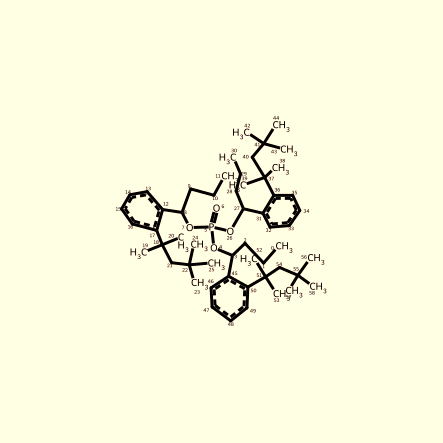 CCCC(OP(=O)(OC(CCC)c1ccccc1C(C)(C)CC(C)(C)C)OC(CCC)c1ccccc1C(C)(C)CC(C)(C)C)c1ccccc1C(C)(C)CC(C)(C)C